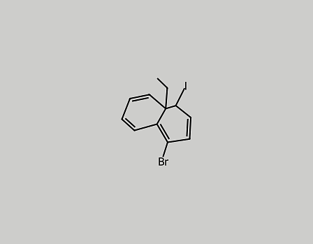 CCC12C=CC=CC1=C(Br)C=CC2I